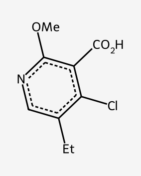 CCc1cnc(OC)c(C(=O)O)c1Cl